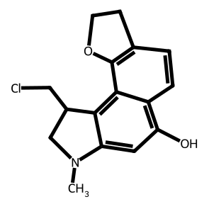 CN1CC(CCl)c2c1cc(O)c1ccc3c(c21)OCC3